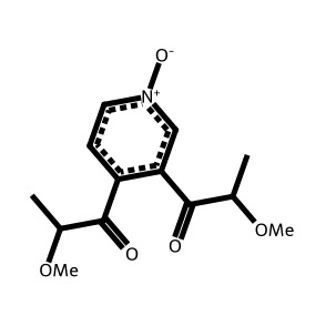 COC(C)C(=O)c1cc[n+]([O-])cc1C(=O)C(C)OC